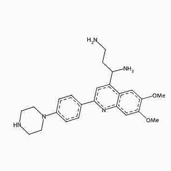 COc1cc2nc(-c3ccc(N4CCNCC4)cc3)cc(C(N)CCN)c2cc1OC